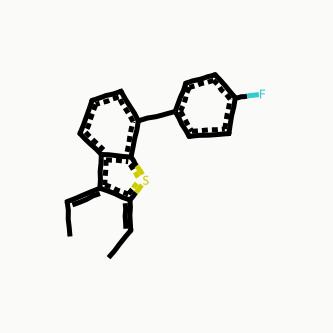 C/C=c1\c(=C/C)sc2c(-c3ccc(F)cc3)cccc12